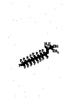 CC(C)(O)C(I)=CC(F)(F)C(F)(F)C(F)(F)C(F)(F)C(F)(F)C(F)(F)C(F)(F)C(F)(F)F